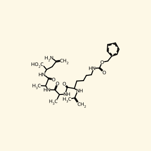 C=C(N)CC(NC(=O)C(C)NC(=O)C(C)NC(=O)C(CCCCNC(=O)OCc1ccccc1)NC(=C)C)C(=O)O